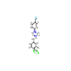 Fc1ccc(N2CCN(CCc3ccc(Cl)cc3)CC2)cc1